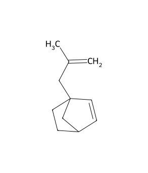 C=C(C)CC12C=CC(CC1)C2